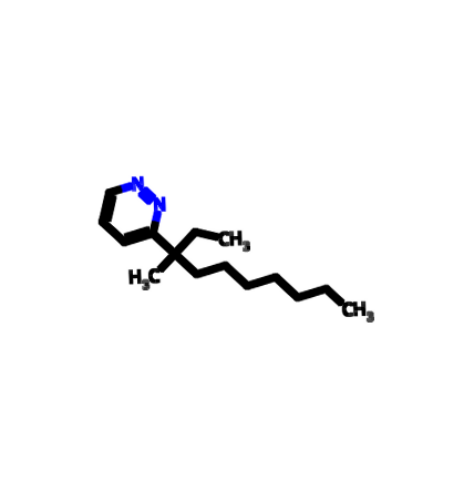 CCCCCCCC(C)(CC)c1cccnn1